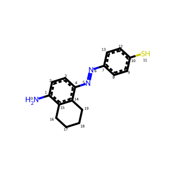 Nc1ccc(N=Nc2ccc(S)cc2)c2c1CCCC2